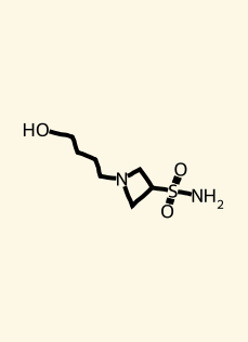 NS(=O)(=O)C1CN(CCCCO)C1